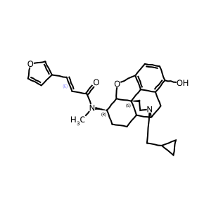 CN(C(=O)/C=C/c1ccoc1)[C@@H]1CCC2C3Cc4c(O)ccc5c4[C@@]2(CCN3CC2CC2)C1O5